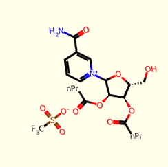 CCCC(=O)O[C@@H]1[C@@H](CO)OC([n+]2cccc(C(N)=O)c2)[C@@H]1OC(=O)CCC.O=S(=O)([O-])C(F)(F)F